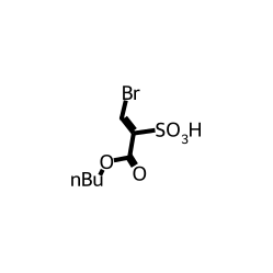 CCCCOC(=O)C(=CBr)S(=O)(=O)O